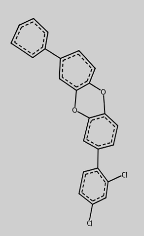 Clc1ccc(-c2ccc3c(c2)Oc2cc(-c4ccccc4)ccc2O3)c(Cl)c1